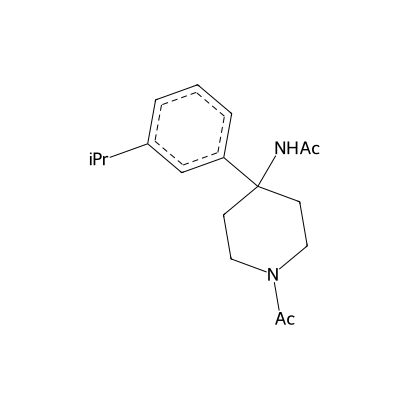 CC(=O)NC1(c2cccc(C(C)C)c2)CCN(C(C)=O)CC1